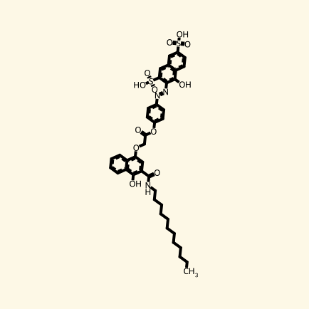 CCCCCCCCCCCCNC(=O)c1cc(OCC(=O)Oc2ccc(N=Nc3c(S(=O)(=O)O)cc4cc(S(=O)(=O)O)ccc4c3O)cc2)c2ccccc2c1O